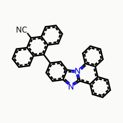 N#Cc1c2ccccc2c(-c2ccc3nc4c5ccccc5c5ccccc5n4c3c2)c2ccccc12